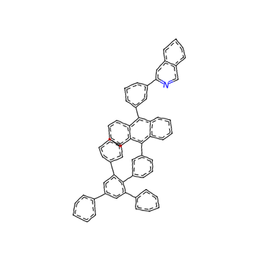 c1ccc(-c2cc(-c3ccccc3)c(-c3cccc(-c4c5ccccc5c(-c5cccc(-c6cc7ccccc7cn6)c5)c5ccccc45)c3)c(-c3ccccc3)c2)cc1